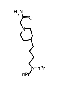 CCCN(CCC)CCCCC1CCN(CC(N)=O)CC1